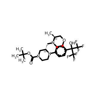 C[C@H]1COCCN1C[C@H]1CN(C(=O)OC(C)(C)C)CCN1c1ccc(C(O)(C(F)(F)F)C(F)(F)F)cc1